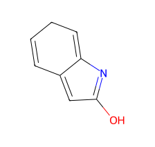 OC1=NC2=CCC=CC2=C1